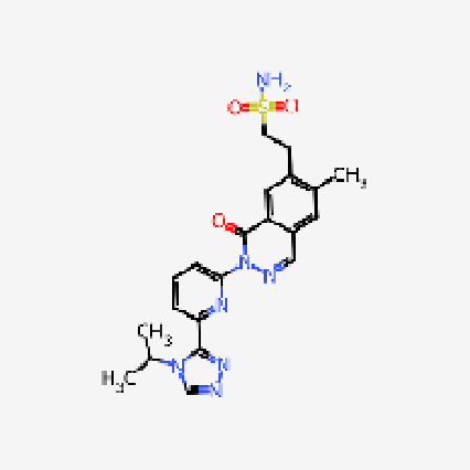 Cc1cc2cnn(-c3cccc(-c4nncn4C(C)C)n3)c(=O)c2cc1CCS(N)(=O)=O